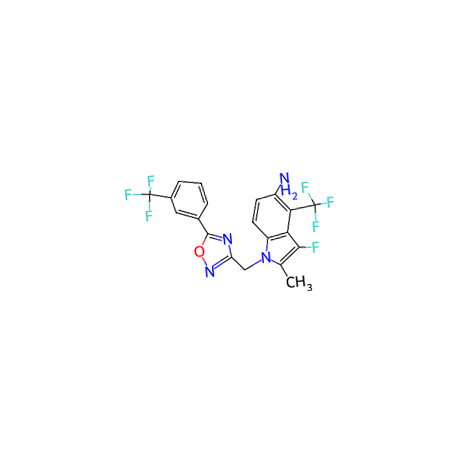 Cc1c(F)c2c(C(F)(F)F)c(N)ccc2n1Cc1noc(-c2cccc(C(F)(F)F)c2)n1